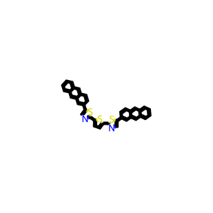 c1ccc2cc3cc(-c4cnc(-c5ccc(-c6ncc(-c7ccc8cc9ccccc9cc8c7)s6)s5)s4)ccc3cc2c1